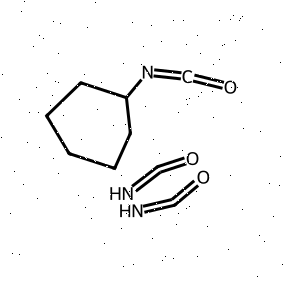 N=C=O.N=C=O.O=C=NC1CCCCC1